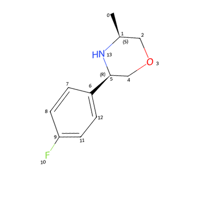 C[C@H]1COC[C@@H](c2ccc(F)cc2)N1